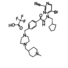 CN1CCC(CN2CCN(Cc3ccc(C(=O)NN(CC4CCCC4)c4nc(C#N)ncc4Br)cc3)CC2)CC1.O=C(O)C(F)(F)F